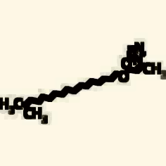 C/C(=C/C(=O)OCCCCCCCCCCCCCCCC(C)C)n1cncn1